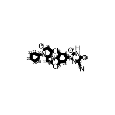 N#Cc1nn(-c2cc(Cl)c(-n3ncc4c3ccc(=O)n4-c3ccccc3)c(Cl)c2)c(=O)[nH]c1=O